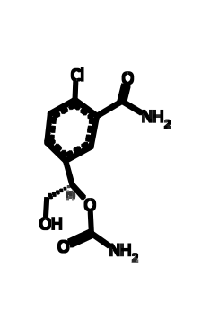 NC(=O)O[C@H](CO)c1ccc(Cl)c(C(N)=O)c1